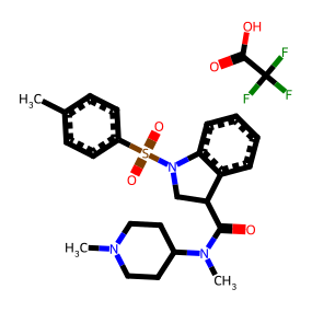 Cc1ccc(S(=O)(=O)N2CC(C(=O)N(C)C3CCN(C)CC3)c3ccccc32)cc1.O=C(O)C(F)(F)F